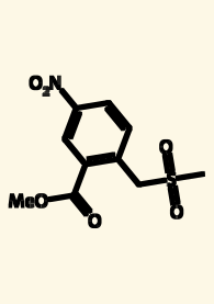 COC(=O)c1cc([N+](=O)[O-])ccc1CS(C)(=O)=O